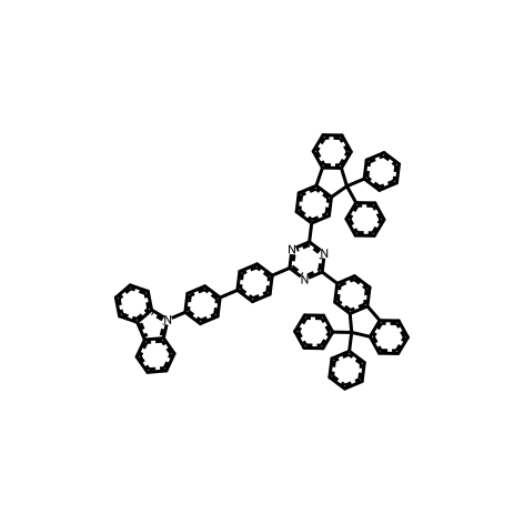 c1ccc(C2(c3ccccc3)c3ccccc3-c3ccc(-c4nc(-c5ccc(-c6ccc(-n7c8ccccc8c8ccccc87)cc6)cc5)nc(-c5ccc6c(c5)C(c5ccccc5)(c5ccccc5)c5ccccc5-6)n4)cc32)cc1